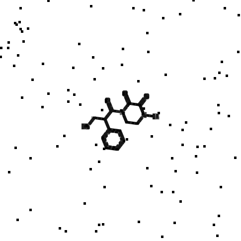 CCN1CCN(C(=O)C([CH]S)c2ccccc2)C(=O)C1=O